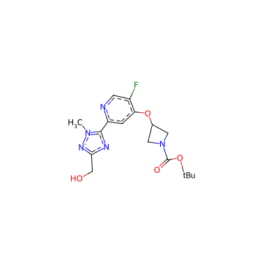 Cn1nc(CO)nc1-c1cc(OC2CN(C(=O)OC(C)(C)C)C2)c(F)cn1